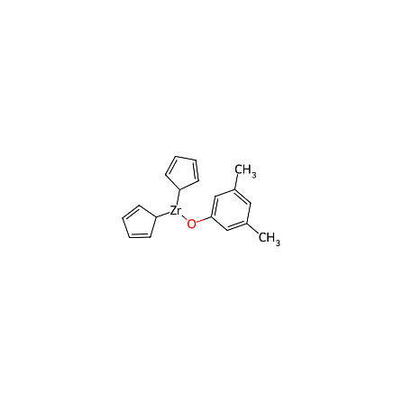 Cc1cc(C)cc([O][Zr]([CH]2C=CC=C2)[CH]2C=CC=C2)c1